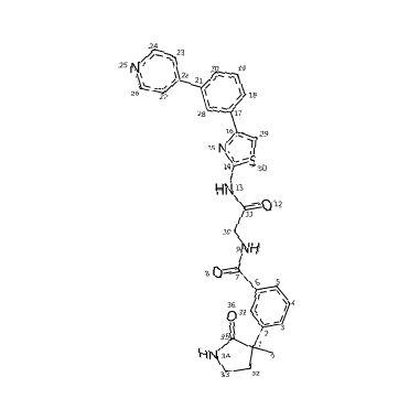 CC1(c2cccc(C(=O)NCC(=O)Nc3nc(-c4cccc(-c5ccncc5)c4)cs3)c2)CCNC1=O